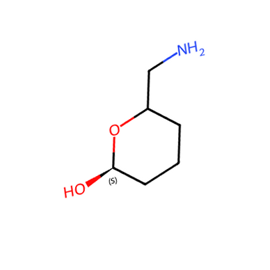 NCC1CCC[C@@H](O)O1